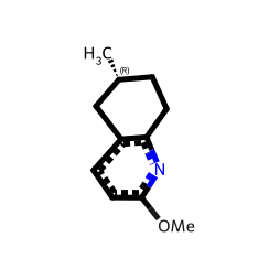 COc1ccc2c(n1)CC[C@@H](C)C2